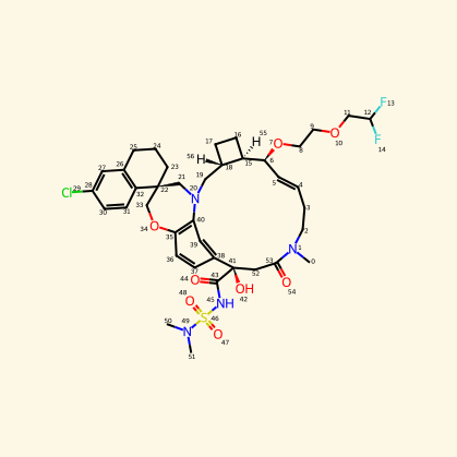 CN1CC/C=C/[C@H](OCCOCC(F)F)[C@@H]2CC[C@H]2CN2C[C@@]3(CCCc4cc(Cl)ccc43)COc3ccc(cc32)[C@@](O)(C(=O)NS(=O)(=O)N(C)C)CC1=O